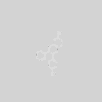 Oc1ccc(C2=Cc3ccc(O)cc3OC2c2ccccn2)cc1